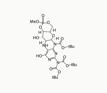 COP1(=O)OC[C@H]2O[C@@H]3[C@@H](Nc4c(O)nc(N(C(=O)OC(C)(C)C)C(=O)OC(C)(C)C)nc4N3C(=O)OC(C)(C)C)[C@H](O)[C@H]2O1